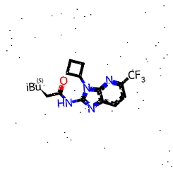 CC[C@H](C)CC(=O)Nc1nc2ccc(C(F)(F)F)nc2n1C1CCC1